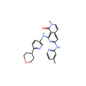 Cc1ccnc(Nc2cc3ccn(C)c(=O)c3c(Nc3ccc(C4CCOCC4)nc3)n2)c1